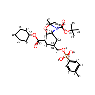 Cc1ccc(S(=O)(=O)OC[C@@H](CCC(=O)OC2CCCCC2)CC2COC(C)(C)N2C(=O)OC(C)(C)C)cc1